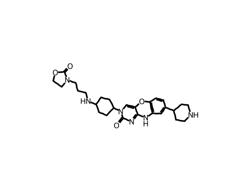 O=C1OCCN1CCCNC1CCC(n2cc3c(nc2=O)Nc2cc(C4CCNCC4)ccc2O3)CC1